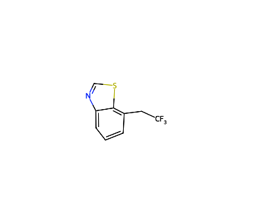 FC(F)(F)Cc1cccc2ncsc12